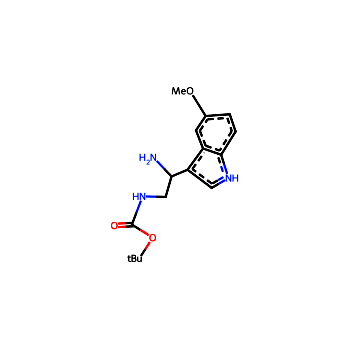 COc1ccc2[nH]cc(C(N)CNC(=O)OC(C)(C)C)c2c1